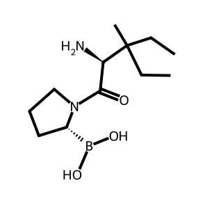 CCC(C)(CC)[C@H](N)C(=O)N1CCC[C@H]1B(O)O